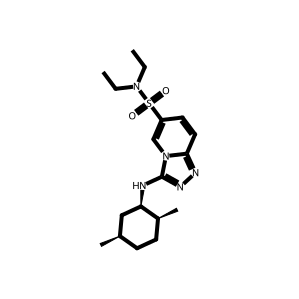 CCN(CC)S(=O)(=O)c1ccc2nnc(N[C@@H]3C[C@H](C)CC[C@@H]3C)n2c1